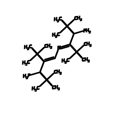 CC(C)(C)/C(=C\N=C(\C(P)C(C)(C)C)C(C)(C)C)C(P)C(C)(C)C